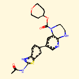 CC(=O)Nc1nc2ccc(-c3cnc4c(c3)N(C(=O)OC3CCOCC3)CCN4)cc2s1